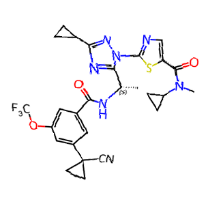 C[C@H](NC(=O)c1cc(OC(F)(F)F)cc(C2(C#N)CC2)c1)c1nc(C2CC2)nn1-c1ncc(C(=O)N(C)C2CC2)s1